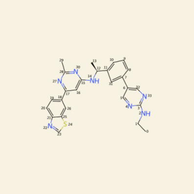 CCNc1ncc(-c2cccc([C@H](C)Nc3cc(-c4ccc5ncsc5c4)nc(C)n3)c2)cn1